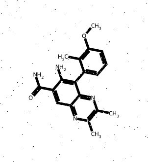 COc1cccc(-c2c(N)c(C(N)=O)cc3nc(C)c(C)nc23)c1C